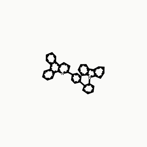 c1ccc(-n2c3ccccc3c3ccccc32)c(-c2ccc(-c3ccc4c5ccccc5c5ccccc5c4n3)cc2)c1